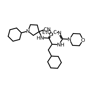 CCOC(=O)/N=C(\NC(CC1CCCCC1)C(=O)NC1(C#N)CCN(C2CCCCC2)C1)N1CCOCC1